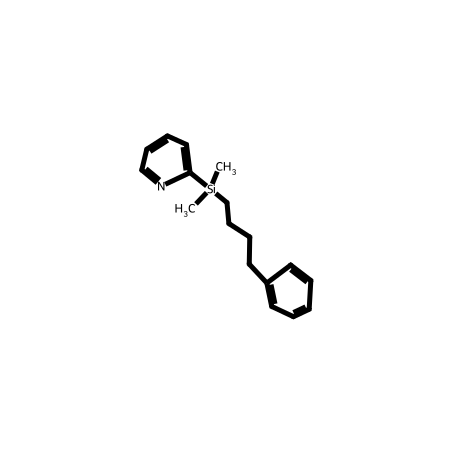 C[Si](C)(CCCCc1ccccc1)c1ccccn1